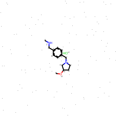 CNCc1ccc(CN2CCC(OC)C2)cc1.Cl